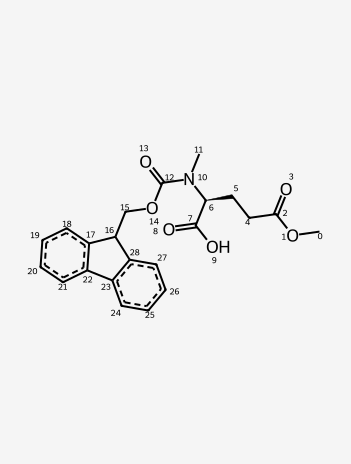 COC(=O)CC[C@@H](C(=O)O)N(C)C(=O)OCC1c2ccccc2-c2ccccc21